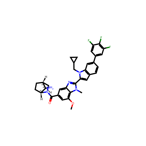 COc1cc(C(=O)N2C[C@H]3CC[C@@H]2[C@@H]3N)cc2nc(-c3cc4ccc(-c5cc(F)c(F)c(F)c5)cc4n3CC3CC3)n(C)c12